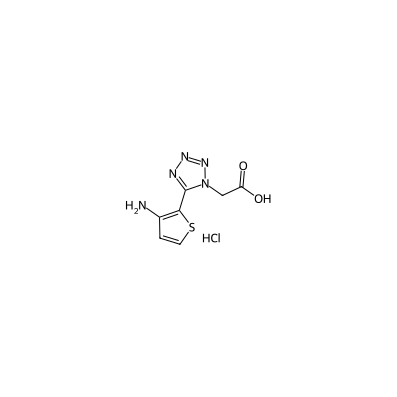 Cl.Nc1ccsc1-c1nnnn1CC(=O)O